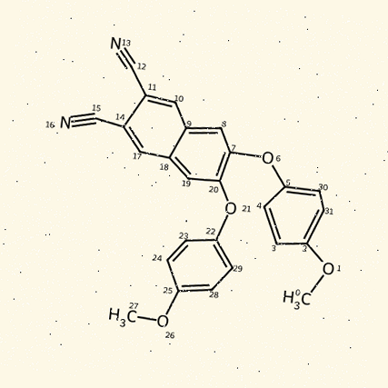 COc1ccc(Oc2cc3cc(C#N)c(C#N)cc3cc2Oc2ccc(OC)cc2)cc1